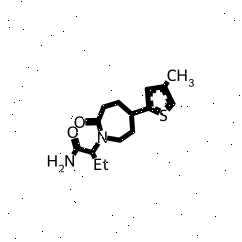 CCC(C(N)=O)N1CCC(c2cc(C)cs2)CCC1=O